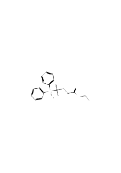 CCOC(=O)CCC(C)(C)[Si](O)(c1ccccc1)c1ccccc1